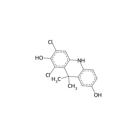 CC1(C)c2cc(O)ccc2Nc2cc(Cl)c(O)c(Cl)c21